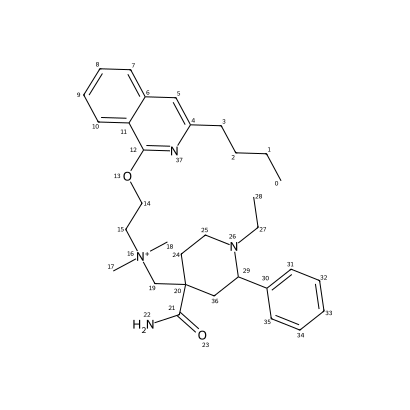 CCCCc1cc2ccccc2c(OCC[N+](C)(C)CC2(C(N)=O)CCN(CC)C(c3ccccc3)C2)n1